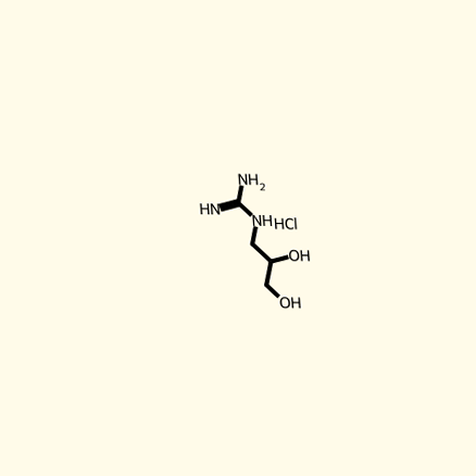 Cl.N=C(N)NCC(O)CO